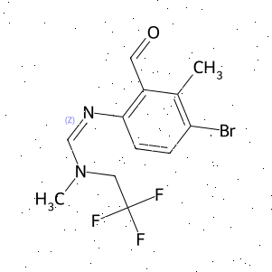 Cc1c(Br)ccc(/N=C\N(C)CC(F)(F)F)c1C=O